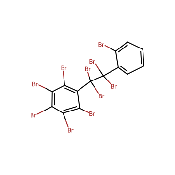 Brc1ccccc1C(Br)(Br)C(Br)(Br)c1c(Br)c(Br)c(Br)c(Br)c1Br